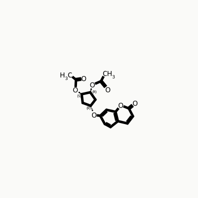 CC(=O)O[C@H]1C[C@@H](Oc2ccc3ccc(=O)oc3c2)C[C@H]1OC(C)=O